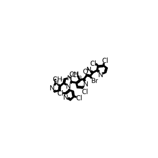 CN1[C]=C(c2ccnn2C)N(c2cc(Cl)cnc2Cl)C1c1cc(Cl)nc(-c2onc(-c3nccc(Cl)c3Cl)c2Br)c1Cl